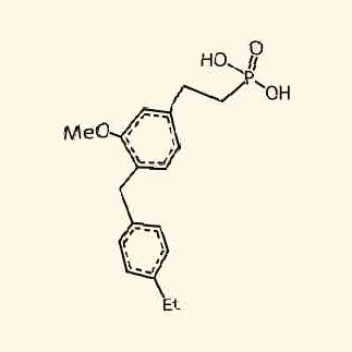 CCc1ccc(Cc2ccc(CCP(=O)(O)O)cc2OC)cc1